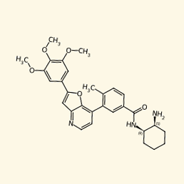 COc1cc(-c2cc3nccc(-c4cc(C(=O)N[C@@H]5CCCC[C@@H]5N)ccc4C)c3o2)cc(OC)c1OC